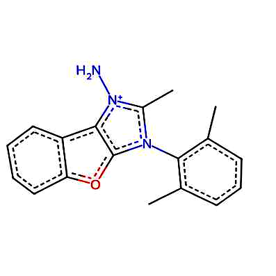 Cc1cccc(C)c1-n1c(C)[n+](N)c2c3ccccc3oc21